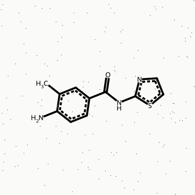 Cc1cc(C(=O)Nc2nccs2)ccc1N